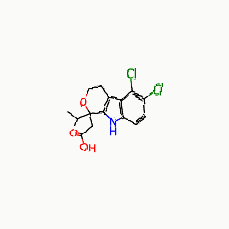 CC(C)C1(CC(=O)O)OCCc2c1[nH]c1ccc(Cl)c(Cl)c21